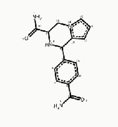 NC(=O)c1ccc(C2NC(C(N)=O)Cn3cccc32)cc1